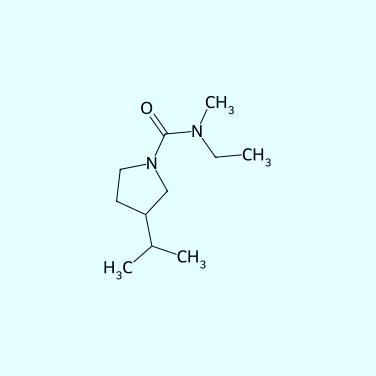 CCN(C)C(=O)N1CCC(C(C)C)C1